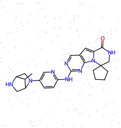 CC1C2CN(c3ccc(Nc4ncc5cc6n(c5n4)C4(CCCC4)CNC6=O)nc3)C1CN2